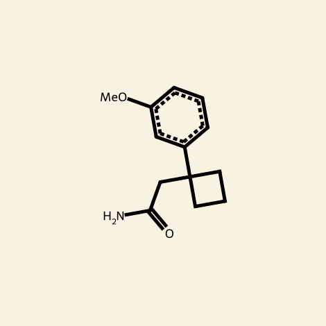 COc1cccc(C2(CC(N)=O)CCC2)c1